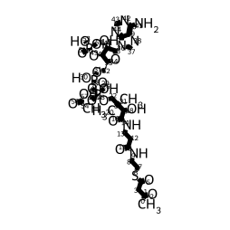 CC(=O)CC(=O)SCCNC(=O)CCNC(=O)C(O)C(C)(C)COP(=O)(O)OP(=O)(O)OC[C@H]1O[C@@H](n2cnc3c(N)ncnc32)[C@H](O)[C@@H]1OP(=O)(O)O.CC(=O)O